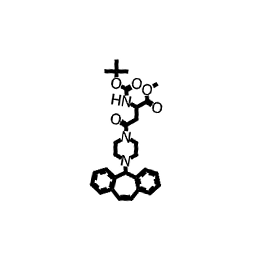 COC(=O)C(CC(=O)N1CCN(C2c3ccccc3C=Cc3ccccc32)CC1)NC(=O)OC(C)(C)C